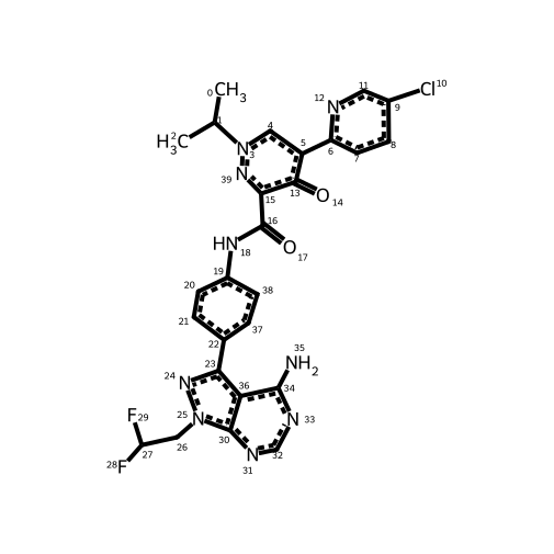 CC(C)n1cc(-c2ccc(Cl)cn2)c(=O)c(C(=O)Nc2ccc(-c3nn(CC(F)F)c4ncnc(N)c34)cc2)n1